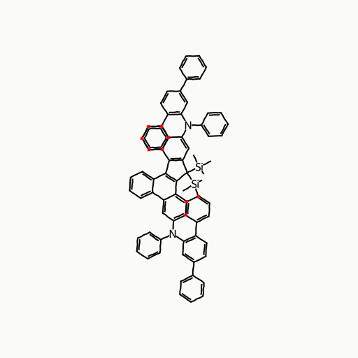 C[Si](C)(C)C1([Si](C)(C)C)c2cc(N(c3ccccc3)c3cc(-c4ccccc4)ccc3-c3ccccc3)c3ccccc3c2-c2c1c1ccc(N(c3ccccc3)c3cc(-c4ccccc4)ccc3-c3ccccc3)cc1c1ccccc21